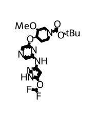 CO[C@H]1CN(C(=O)OC(C)(C)C)CC[C@H]1Oc1cncc(Nc2cc(OC(F)F)[nH]n2)n1